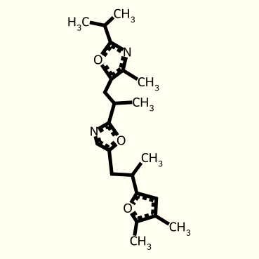 Cc1cc(C(C)Cc2cnc(C(C)Cc3oc(C(C)C)nc3C)o2)oc1C